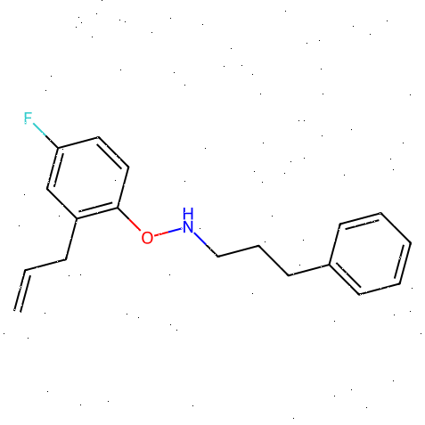 C=CCc1cc(F)ccc1ONCCCc1ccccc1